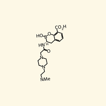 CNCCN1CCN(CC(=O)N[C@H]2Cc3cccc(C(=O)O)c3OB2O)CC1